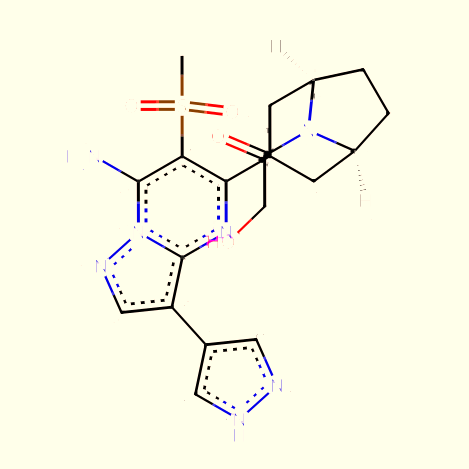 CS(=O)(=O)c1c(C2C[C@H]3CC[C@@H](C2)N3C(=O)CO)nc2c(-c3cn[nH]c3)cnn2c1N